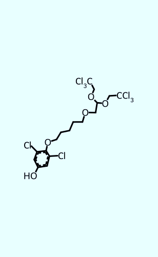 Oc1cc(Cl)c(OCCCCCOCC(OCC(Cl)(Cl)Cl)OCC(Cl)(Cl)Cl)c(Cl)c1